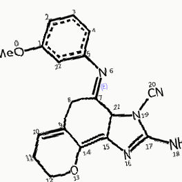 COc1cccc(/N=C2\CC3=CCCOC3=C3N=C(N)N(C#N)C32)c1